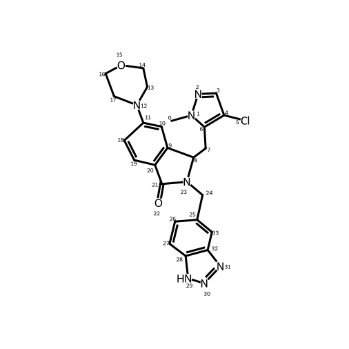 Cn1ncc(Cl)c1CC1c2cc(N3CCOCC3)ccc2C(=O)N1Cc1ccc2[nH]nnc2c1